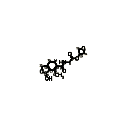 Cc1c(C(=O)NCC(=O)OC2COC2)ccc2c1B(O)OC2